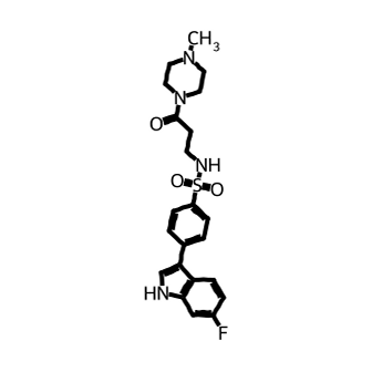 CN1CCN(C(=O)CCNS(=O)(=O)c2ccc(-c3c[nH]c4cc(F)ccc34)cc2)CC1